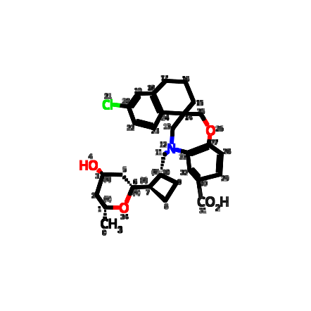 C[C@@H]1C[C@@H](O)C[C@H]([C@@H]2CC[C@H]2CN2CC3(CCCc4cc(Cl)ccc43)COc3ccc(C(=O)O)cc32)O1